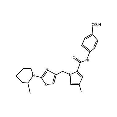 Cc1cc(C(=O)Nc2ccc(C(=O)O)cc2)n(Cc2csc(N3CCCCC3C)n2)c1